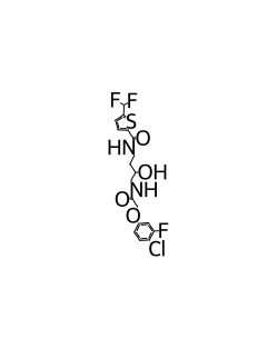 O=C(COc1ccc(Cl)c(F)c1)NCC(O)CCNC(=O)c1ccc(C(F)F)s1